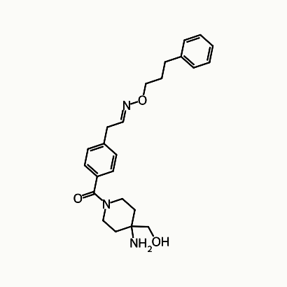 NC1(CO)CCN(C(=O)c2ccc(CC=NOCCCc3ccccc3)cc2)CC1